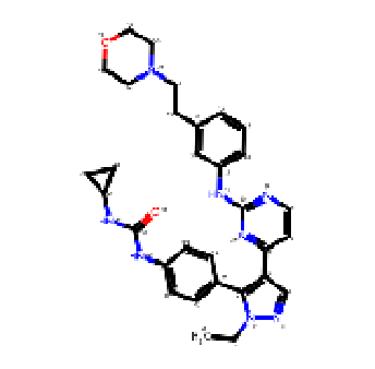 CCn1ncc(-c2ccnc(Nc3cccc(CCN4CCOCC4)c3)n2)c1-c1ccc(NC(=O)NC2CC2)cc1